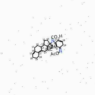 CC(=O)ON=C1C=C(N(C(=O)O)[C@@]2(CC#N)CCC3C4CCC5=CCCCC5=C4CC[C@@]32C)C=CC1